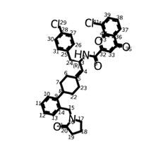 O=C(N[C@@H](C=C1CCC(c2ccccc2CN2CCCC2=O)CC1)Cc1ccc(Cl)cc1)c1cc(=O)c2cccc(Cl)c2o1